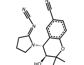 CC1(C)Oc2ccc(C#N)cc2[C@@H](N2CCCC2=NC#N)[C@@H]1O